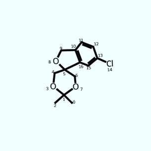 CC1(C)OCC2(CO1)OCc1ccc(Cl)cc12